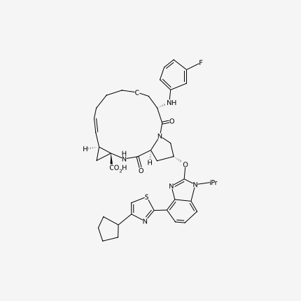 CC(C)n1c(O[C@@H]2C[C@H]3C(=O)N[C@]4(C(=O)O)C[C@H]4/C=C\CCCCC[C@H](Nc4cccc(F)c4)C(=O)N3C2)nc2c(-c3nc(C4CCCC4)cs3)cccc21